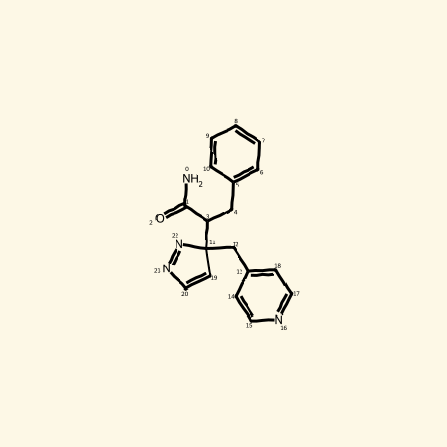 NC(=O)C(Cc1ccccc1)C1(Cc2ccncc2)C=CN=N1